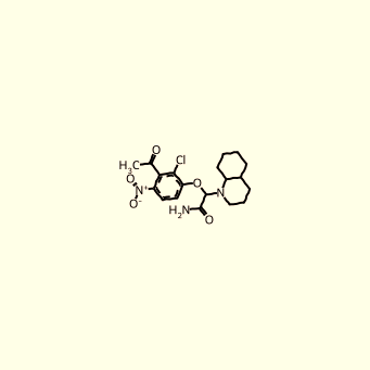 CC(=O)c1c([N+](=O)[O-])ccc(OC(C(N)=O)N2CCCC3CCCCC32)c1Cl